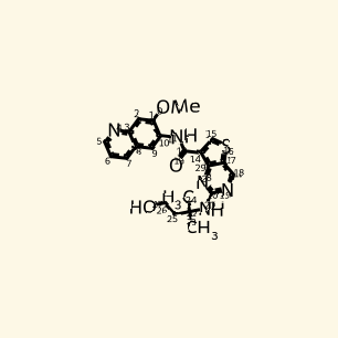 COc1cc2ncccc2cc1NC(=O)c1csc2cnc(NC(C)(C)CCO)nc12